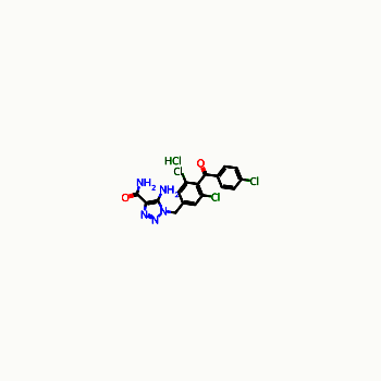 Cl.NC(=O)c1nnn(Cc2cc(Cl)c(C(=O)c3ccc(Cl)cc3)c(Cl)c2)c1N